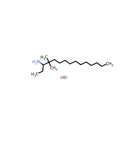 Br.CCCCCCCCCCCC(C)(C)C(N)CC